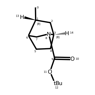 C[C@@H]1C[C@H]2CCC1CN2C(=O)OC(C)(C)C